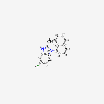 Cc1nc2cc(F)ccc2n1-c1cccc2ccccc12